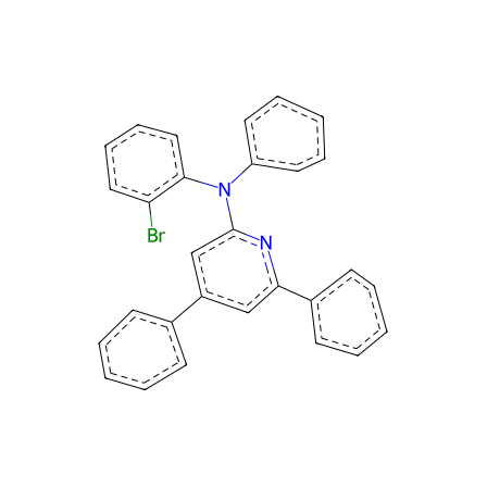 Brc1ccccc1N(c1ccccc1)c1cc(-c2ccccc2)cc(-c2ccccc2)n1